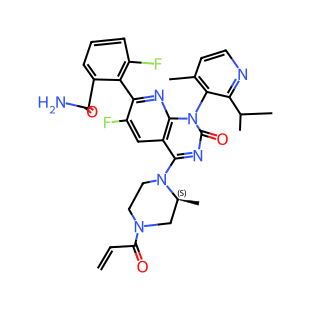 C=CC(=O)N1CCN(c2nc(=O)n(-c3c(C)ccnc3C(C)C)c3nc(-c4c(F)cccc4C(N)=O)c(F)cc23)[C@@H](C)C1